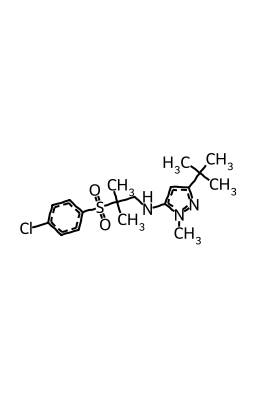 Cn1nc(C(C)(C)C)cc1NCC(C)(C)S(=O)(=O)c1ccc(Cl)cc1